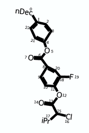 CCCCCCCCCCc1ccc(OC(=O)c2ccc(OC(=O)C(Cl)C(C)C)c(F)c2)cc1